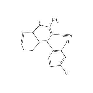 N#CC1=C(N)NC23C=CC=CC2=CCCC3=C1c1ccc(Cl)cc1Cl